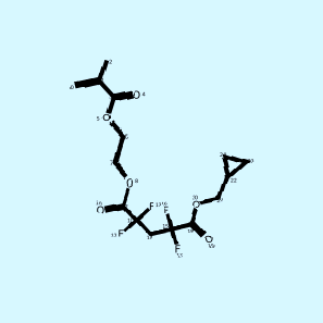 C=C(C)C(=O)OCCOC(=O)C(F)(F)CC(F)(F)C(=O)OCC1CC1